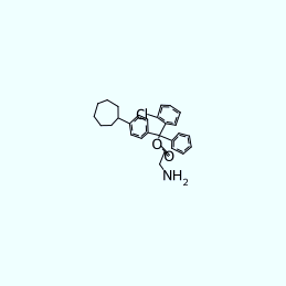 NCC(=O)OC(c1ccccc1)(c1ccc(C2CCCCCC2)cc1)c1ccccc1Cl